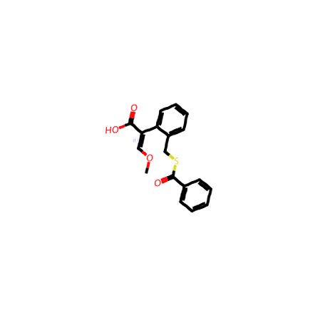 CO/C=C(/C(=O)O)c1ccccc1CSC(=O)c1ccccc1